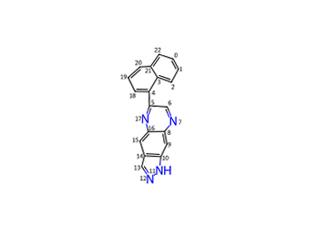 c1ccc2c(-c3cnc4cc5[nH]ncc5cc4n3)cccc2c1